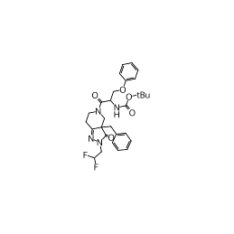 CC(C)(C)OC(=O)NC(COc1ccccc1)C(=O)N1CCC2=NN(CC(F)F)C(=O)C2(Cc2ccccc2)C1